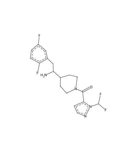 NC(Cc1cc(F)ccc1F)C1CCN(C(=O)c2ccnn2C(F)F)CC1